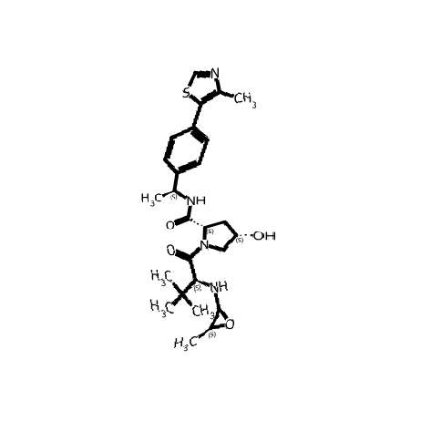 Cc1ncsc1-c1ccc([C@H](C)NC(=O)[C@@H]2C[C@H](O)CN2C(=O)[C@@H](NC2O[C@H]2C)C(C)(C)C)cc1